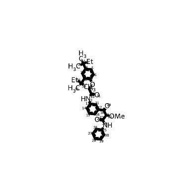 CCC(C)(C)c1ccc(OCC(=O)Nc2cccc(C(=O)C(OC)C(=O)Nc3ccccc3)c2)c(C(C)(C)CC)c1